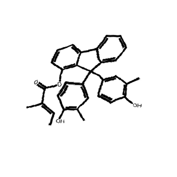 CC=C(C)C(=O)Oc1cccc2c1C(c1ccc(O)c(C)c1)(c1ccc(O)c(C)c1)c1ccccc1-2